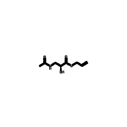 C=CCOC(=O)[C@@H](O)CNC(C)=O